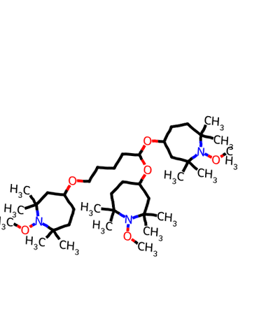 CON1C(C)(C)CCC(OCCCCC(OC2CCC(C)(C)N(OC)C(C)(C)C2)OC2CCC(C)(C)N(OC)C(C)(C)C2)CC1(C)C